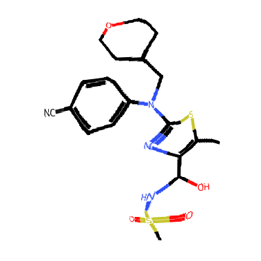 Cc1sc(N(CC2CCOCC2)c2ccc(C#N)cc2)nc1C(O)NS(C)(=O)=O